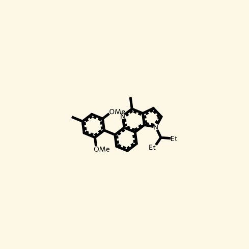 CCC(CC)n1ccc2c(C)nc3c(-c4c(OC)cc(C)cc4OC)cccc3c21